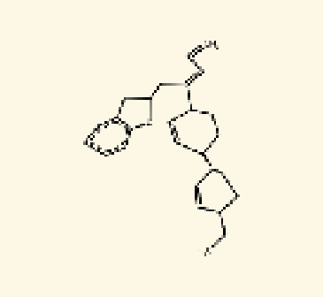 C=C/C=C(\CC1Cc2ccccc2O1)C1C=CC([C@@H]2C=C[C@H](CC)CC2)CC1